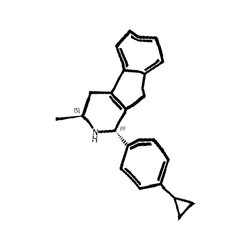 C[C@H]1CC2=C(Cc3ccccc32)[C@H](c2ccc(C3CC3)cc2)N1